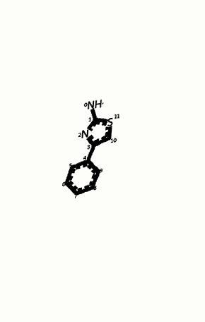 [NH]c1nc(-c2ccccc2)cs1